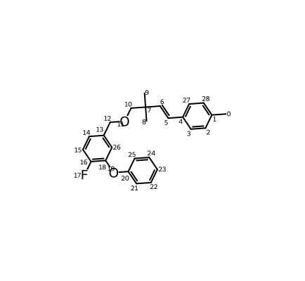 Cc1ccc(C=CC(C)(C)COCc2ccc(F)c(Oc3ccccc3)c2)cc1